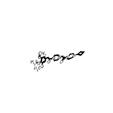 COc1cc(CC(=O)N2CCN(CC(=O)N3CCN(C4CCC4)CC3)CC2)cc(OC)c1OC